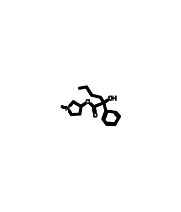 CCCCC(O)(C(=O)OC1CCN(C)C1)c1ccccc1